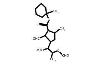 COC(C(C)OC=O)C1CC(C)C(C(=O)OC2(C)CCCCC2)C1C=O